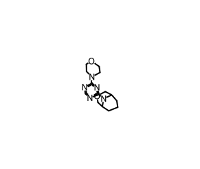 c1nc(N2CCOCC2)nc(N2C3CCCC2COC3)n1